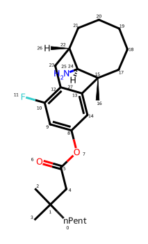 CCCCCC(C)(C)CC(=O)Oc1cc(F)c2c(c1)[C@@]1(C)CCCCC[C@@H](C2)[C@@H]1N